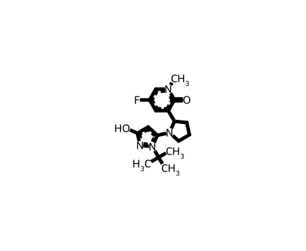 Cn1cc(F)cc(C2CCCN2c2cc(O)nn2C(C)(C)C)c1=O